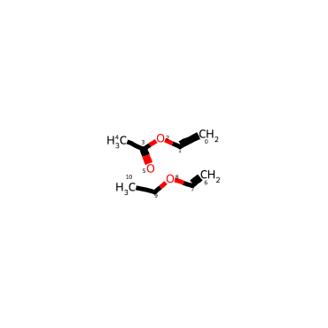 C=COC(C)=O.C=COCC